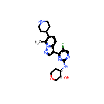 Cc1c(C2CCNCC2)ccc2c(-c3nc(N[C@@H]4CCOC[C@H]4O)ncc3Cl)cnn12